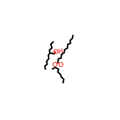 CCCCCCC(CO)CCCC.CCCCCCCCCCCC(=O)OC(C)CCCCCC